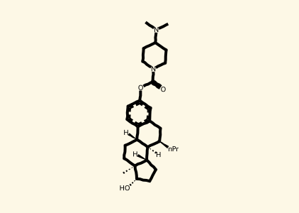 CCC[C@@H]1Cc2cc(OC(=O)N3CCC(N(C)C)CC3)ccc2[C@H]2CC[C@]3(C)[C@@H](O)CC[C@H]3[C@H]12